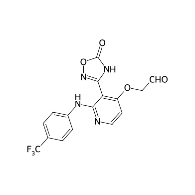 O=CCOc1ccnc(Nc2ccc(C(F)(F)F)cc2)c1-c1noc(=O)[nH]1